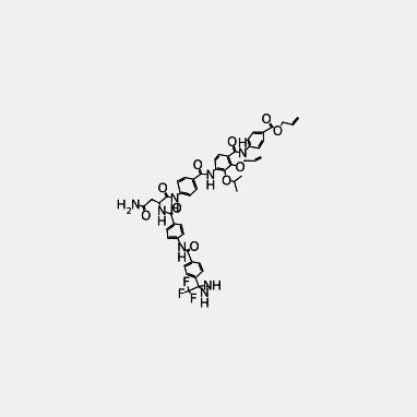 C=CCOC(=O)c1ccc(NC(=O)c2ccc(NC(=O)c3ccc(NC(=O)[C@H](CC(N)=O)NC(=O)c4ccc(NC(=O)c5ccc(C6(C(F)(F)F)NN6)cc5)cc4)cc3)c(OC(C)C)c2OCC=C)cc1